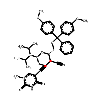 COc1ccc(C(OC[C@H](CC#Cc2cn(C)c(=O)[nH]c2=O)OP(OCCC#N)N(C(C)C)C(C)C)(c2ccccc2)c2ccc(OC)cc2)cc1